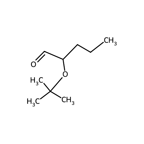 CCCC(C=O)OC(C)(C)C